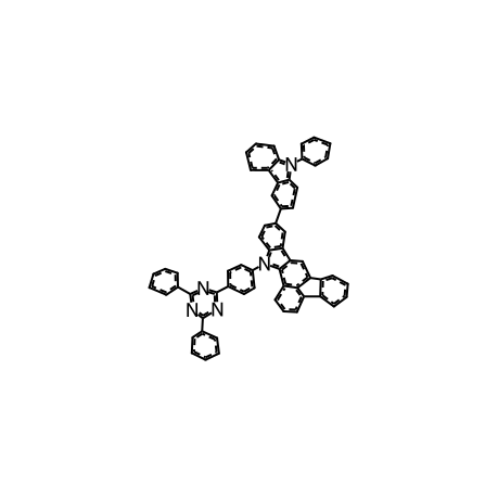 c1ccc(-c2nc(-c3ccccc3)nc(-c3ccc(-n4c5ccc(-c6ccc7c(c6)c6ccccc6n7-c6ccccc6)cc5c5cc6c7c(cccc7c54)-c4ccccc4-6)cc3)n2)cc1